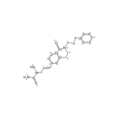 NC(=O)N(O)C/C=C/c1ccc2c(c1)CCN(CCCc1ccccc1)C2=O